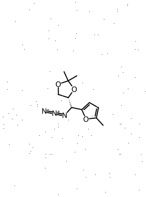 Cc1ccc(C(N=[N+]=[N-])[C@@H]2COC(C)(C)O2)o1